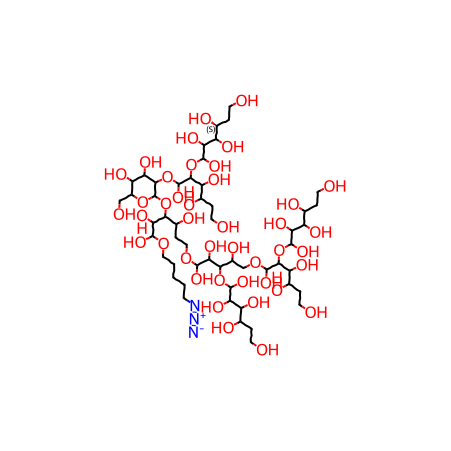 [N-]=[N+]=NCCCCCOC(O)C(O)C(OC1OC(CO)C(O)C(O)C1OC(O)C(OC(O)C(O)C(O)[C@@H](O)CCO)C(O)C(O)CCO)C(O)CCOC(O)C(O)C(OC(O)C(O)C(O)C(O)CCO)C(O)COC(O)C(OC(O)C(O)C(O)C(O)CCO)C(O)C(O)CCO